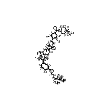 Cc1cc(C(=O)N2CCC(C)(O)CC2)cc(C)c1C=CS(=O)(=O)N1CCC2(CC1)N=C(c1cccc(OCCCC(F)(F)C(F)(F)F)c1)NC2=O